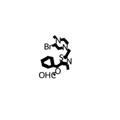 Cc1nc(CN2CCN(C)C(Br)C2)sc1C(OC=O)c1ccccc1